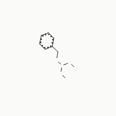 CCCCCCCCCCOP(OCCCCCCCCCC)OCc1ccccc1